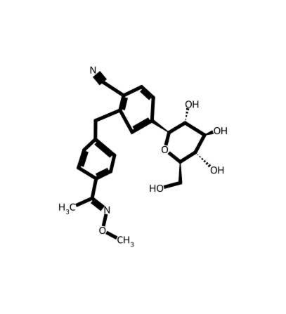 CON=C(C)c1ccc(Cc2cc([C@@H]3O[C@H](CO)[C@@H](O)[C@H](O)[C@H]3O)ccc2C#N)cc1